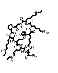 CCNCCCCC(NCC)C(=O)NC(CCCCN)C(=O)NC(CCCCNCC)C(=O)NCC(=O)N1CCCC1C(=O)NC(CCCCNCC)C(=O)NC(CCOC=O)C(=O)NC(CCCCNCC)C(=O)NCC(N)=O